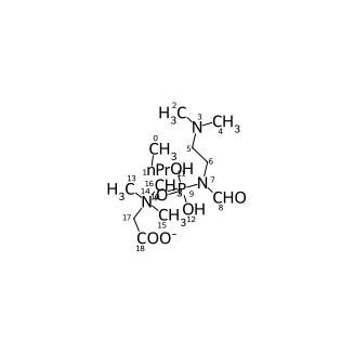 CCCC.CN(C)CCN(C=O)P(=O)(O)O.C[N+](C)(C)CC(=O)[O-]